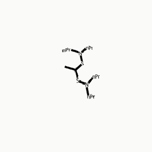 CCCN(CCC)SC(C)SN(CCC)CCC